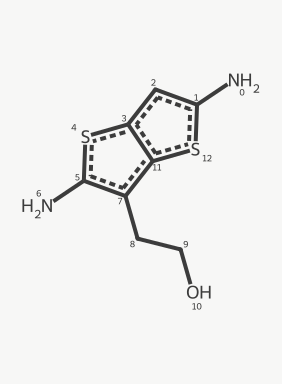 Nc1cc2sc(N)c(CCO)c2s1